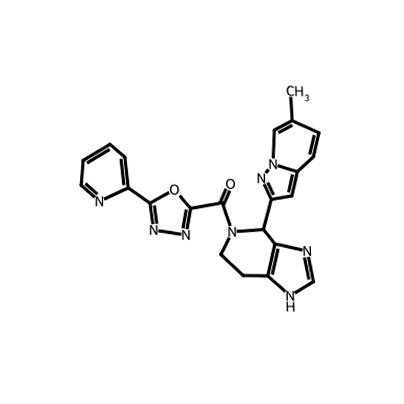 Cc1ccc2cc(C3c4nc[nH]c4CCN3C(=O)c3nnc(-c4ccccn4)o3)nn2c1